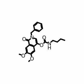 CCCCNC(=O)Oc1cn(Cc2ccccc2)c(=O)c2cc(OC)c(OC)cc12